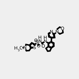 CN1CCc2sc(S(=O)(=O)NC(=O)Nc3c(-c4ccnc(N5CCOCC5)c4)ccc4c3CCC4)cc2C1